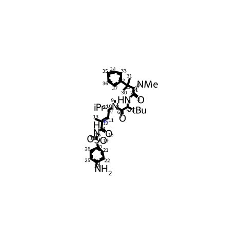 CN[C@H](C(=O)NC(C(=O)N(C)[C@H](/C=C(\C)C(=O)NS(=O)(=O)c1ccc(N)cc1)C(C)C)C(C)(C)C)C(C)(C)c1ccccc1